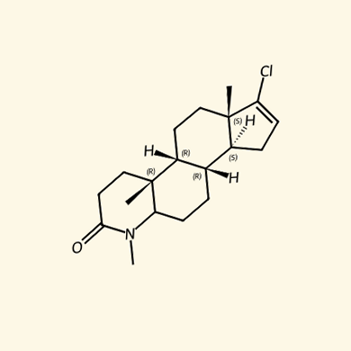 CN1C(=O)CC[C@@]2(C)C1CC[C@@H]1[C@H]2CC[C@]2(C)C(Cl)=CC[C@@H]12